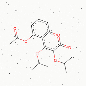 CC(=O)Oc1cccc2oc(=O)c(OC(C)C)c(OC(C)C)c12